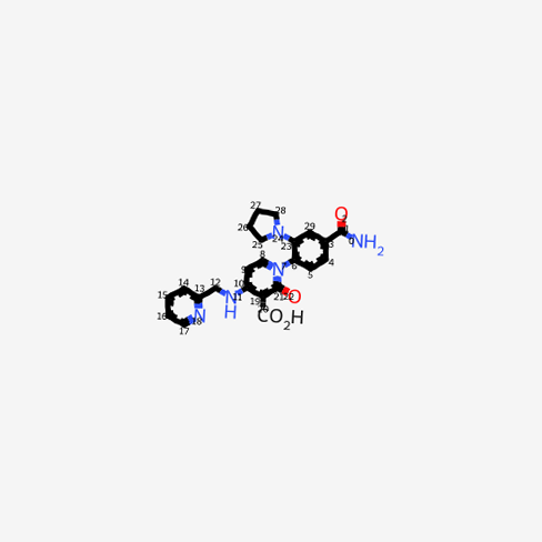 NC(=O)c1ccc(-n2ccc(NCc3ccccn3)c(C(=O)O)c2=O)c(N2CCCC2)c1